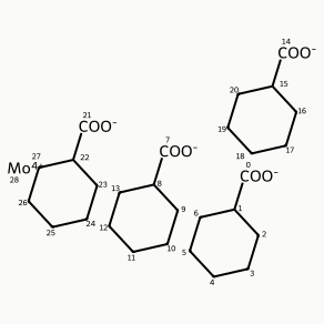 O=C([O-])C1CCCCC1.O=C([O-])C1CCCCC1.O=C([O-])C1CCCCC1.O=C([O-])C1CCCCC1.[Mo+4]